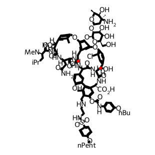 CCCCCOc1ccc(S(=O)(=O)NCCNCc2c(OC(=O)Nc3ccc(OCCCC)cc3)cc3c(c2C)-c2cc(ccc2O)[C@H]2NC(=O)[C@@H]4NC(=O)[C@H](CC(N)=O)NC(=O)[C@H](NC(=O)[C@@H](CC(C)C)NC)[C@H](O)c5ccc(c(C)c5)Oc5cc4cc(c5O[C@@H]4O[C@H](CO)[C@@H](O)[C@H](O)[C@H]4O[C@H]4C[C@](C)(N)[C@H](O)[C@H](C)O4)Oc4ccc(cc4Cl)[C@@H](O)[C@H](NC2=O)C(=O)N[C@@H]3C(=O)O)cc1